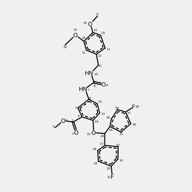 COC(=O)c1cc(NC(=O)NCc2ccc(OC)c(OC)c2)ccc1OC(c1ccc(F)cc1)c1ccc(F)cc1